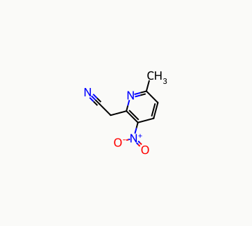 Cc1ccc([N+](=O)[O-])c(CC#N)n1